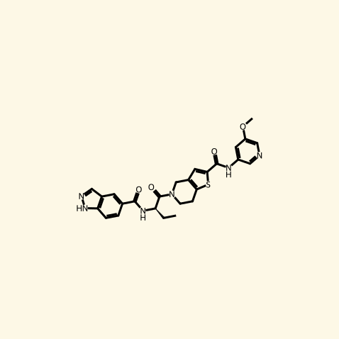 CC[C@@H](NC(=O)c1ccc2[nH]ncc2c1)C(=O)N1CCc2sc(C(=O)Nc3cncc(OC)c3)cc2C1